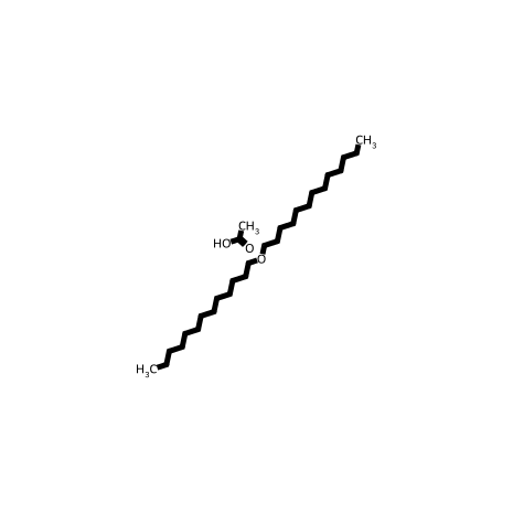 CC(=O)O.CCCCCCCCCCCCCOCCCCCCCCCCCCC